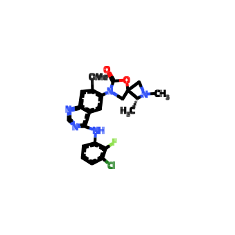 COc1cc2ncnc(Nc3cccc(Cl)c3F)c2cc1N1CC2(CN(C)[C@@H]2C)OC1=O